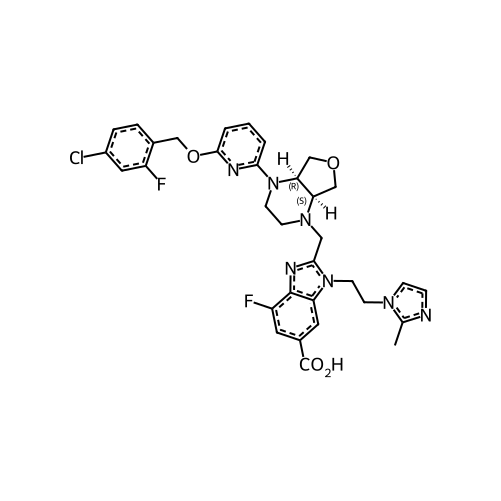 Cc1nccn1CCn1c(CN2CCN(c3cccc(OCc4ccc(Cl)cc4F)n3)[C@H]3COC[C@H]32)nc2c(F)cc(C(=O)O)cc21